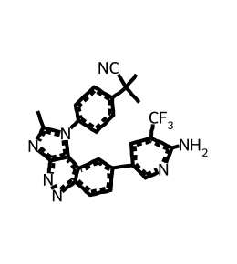 Cc1nc2nnc3ccc(-c4cnc(N)c(C(F)(F)F)c4)cc3c2n1-c1ccc(C(C)(C)C#N)cc1